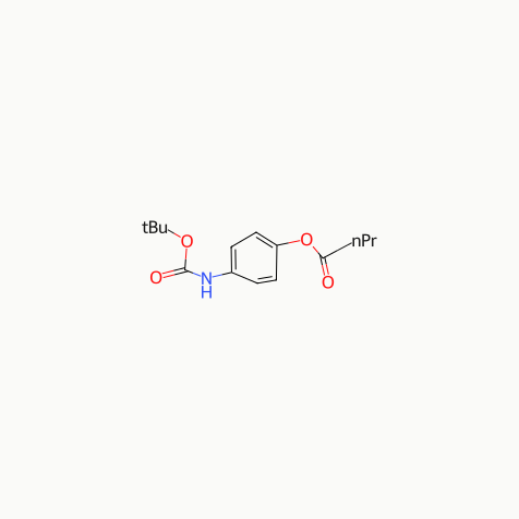 CCCC(=O)Oc1ccc(NC(=O)OC(C)(C)C)cc1